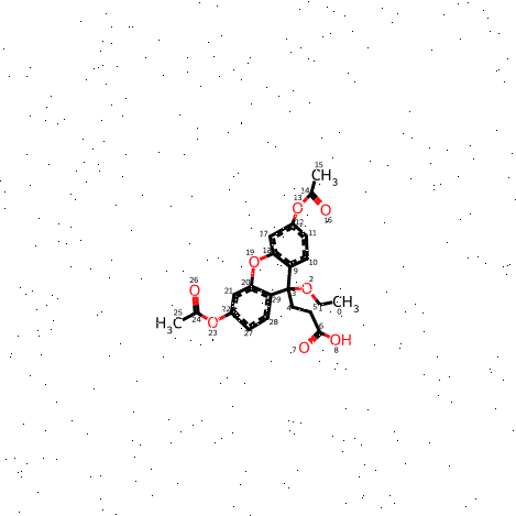 CCOC1(CCC(=O)O)c2ccc(OC(C)=O)cc2Oc2cc(OC(C)=O)ccc21